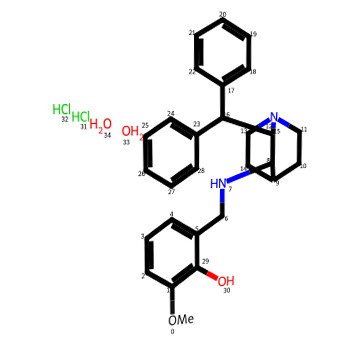 COc1cccc(CNC2C3CCN(CC3)C2C(c2ccccc2)c2ccccc2)c1O.Cl.Cl.O.O